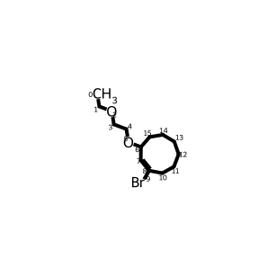 CCOCCOC1C=C(Br)CCCCCC1